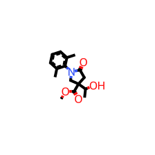 COC(=O)C1(C(C)O)CC(=O)N(c2c(C)cccc2C)C1